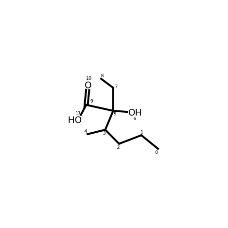 CCCC(C)C(O)(CC)C(=O)O